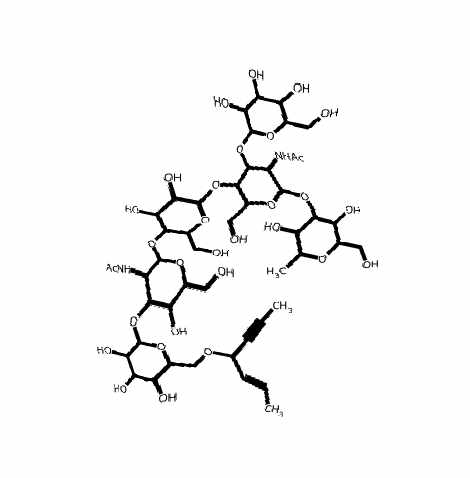 CC#CC(C=CC)OCC1OC(OC2C(O)C(CO)OC(OC3C(CO)OC(OC4C(CO)OC(OC5C(O)C(C)OC(CO)C5O)C(NC(C)=O)C4OC4OC(CO)C(O)C(O)C4O)C(O)C3O)C2NC(C)=O)C(O)C(O)C1O